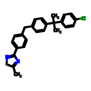 CC1=NC(c2ccc(Cc3ccc(C(C)(C)c4ccc(Cl)cc4)cc3)cc2)=NC1